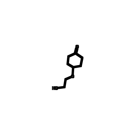 O=C1CCC(OCCO)CC1